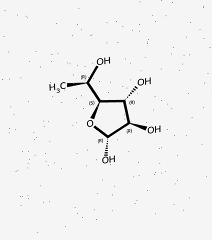 C[C@@H](O)[C@@H]1O[C@@H](O)[C@H](O)[C@H]1O